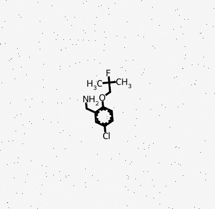 CC(C)(F)COc1ccc(Cl)cc1CN